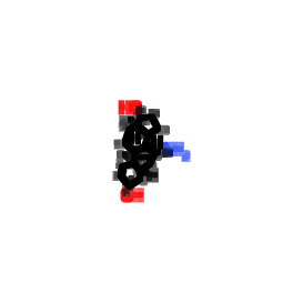 C[C@]12C=C[C@H](O)C[C@H]1C=C(N)[C@@H]1[C@@H]2CC[C@]2(C)[C@@H](O)CC[C@@H]12